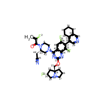 C=C(F)C(=O)N1CCN(c2nc(OC[C@@]34CCCN3C[C@H](F)C4)nc3c(F)c(-c4cncc5c4CCCC5)c(F)cc23)C[C@@H]1CC#N